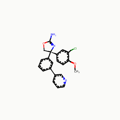 COc1ccc([C@@]2(c3cccc(-c4cccnc4)c3)COC(N)=N2)cc1Cl